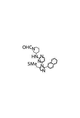 CSCc1cnc(-c2ccc3ccccc3c2)n1-c1ccnc(NC2CCCN(C=O)C2)n1